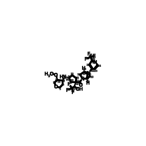 CO[C@@H]1COCC[C@@H]1N[C@@H]1CC[C@@](C(=O)N2C[C@@H]3C[C@H]2CN3c2ccnc(C(F)(F)F)c2)(C(O)C(F)(F)F)C1